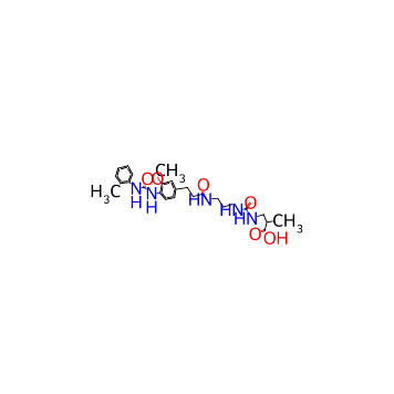 COc1cc(CCC(=O)NCCCNC(=O)NCC(C)C(=O)O)ccc1NC(=O)Nc1ccccc1C